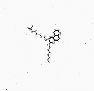 CCCCCCCOc1nc2ccc3ncccc3c2cc1OCCCCCCC(C)C